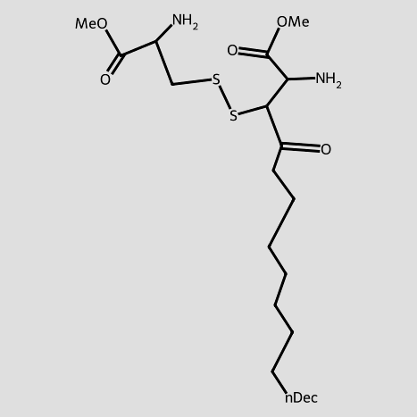 CCCCCCCCCCCCCCCCCC(=O)C(SSCC(N)C(=O)OC)C(N)C(=O)OC